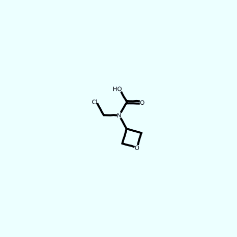 O=C(O)N(CCl)C1COC1